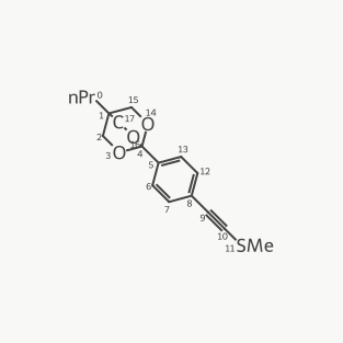 CCCC12COC(c3ccc(C#CSC)cc3)(OC1)OC2